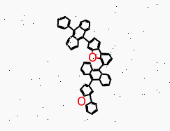 C1=CC2C(c3ccc4oc5ccccc5c4c3)=c3ccccc3=C(c3cccc4c3oc3cc(-c5c6ccccc6c(-c6ccccc6)c6ccccc56)ccc34)C2C=C1